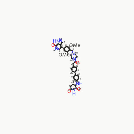 COc1cc(-c2cn(C)c(=O)c3[nH]ncc23)cc(OC)c1CN1CCN(C(=O)Cc2ccc(-c3ccc(NC4CCC(=O)NC4=O)cc3)cc2)CC1